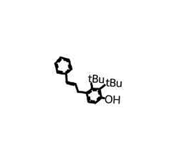 CC(C)(C)c1c(O)ccc(C/C=C/c2ccccc2)c1C(C)(C)C